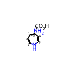 C1=CC=CNC=C1.NC(=O)O